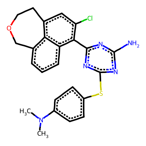 CN(C)c1ccc(Sc2nc(N)nc(-c3c(Cl)cc4c5c(cccc35)COCC4)n2)cc1